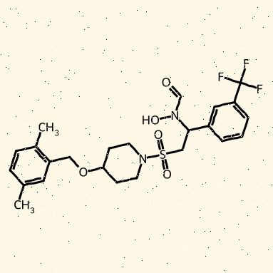 Cc1ccc(C)c(COC2CCN(S(=O)(=O)CC(c3cccc(C(F)(F)F)c3)N(O)C=O)CC2)c1